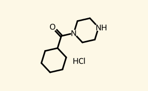 Cl.O=C(C1CCCCC1)N1CCNCC1